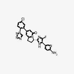 Nc1ccc(-c2[nH]c([C@@H]3CCc4cc(-c5cc(Cl)ccc5-n5cnnn5)cc(=O)n43)nc2F)cn1